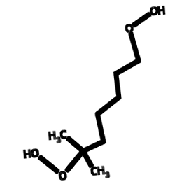 CC(C)(CCCCCOO)OO